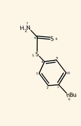 CCCCc1ccc(SC(N)=S)cc1